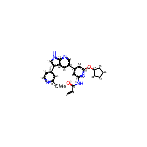 C=CC(=O)Nc1cc(-c2cnc3[nH]cc(-c4ccnc(OC)c4)c3c2)cc(OC2CCCC2)n1